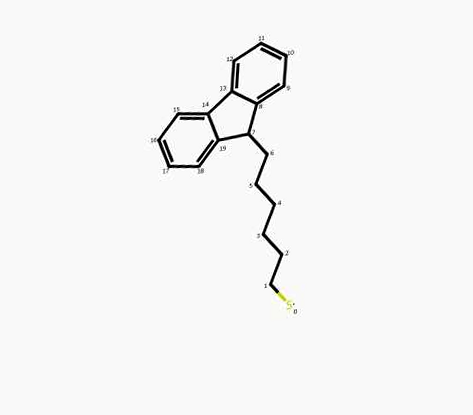 [S]CCCCCCC1c2ccccc2-c2ccccc21